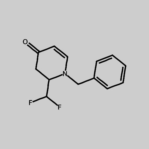 O=C1C=CN(Cc2ccccc2)C(C(F)F)C1